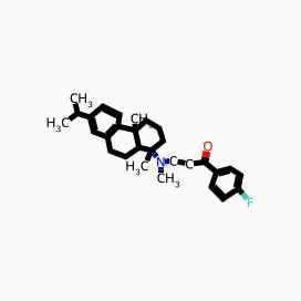 CC(C)c1ccc2c(c1)CCC1C2(C)CCCC1(C)N(C)CCC(=O)c1ccc(F)cc1